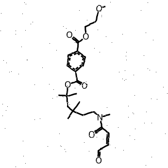 COCCOC(=O)c1ccc(C(=O)OC(C)(C)CC(C)(C)CCN(C)C(=O)/C=C\C=O)cc1